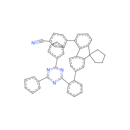 N#Cc1ccc(-c2cccc3c2-c2ccc(-c4ccccc4-c4nc(-c5ccccc5)nc(-c5ccccc5)n4)cc2C32CCCC2)cc1